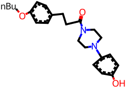 CCCCOc1ccc(CCC(=O)N2CCN(c3ccc(O)cc3)CC2)cc1